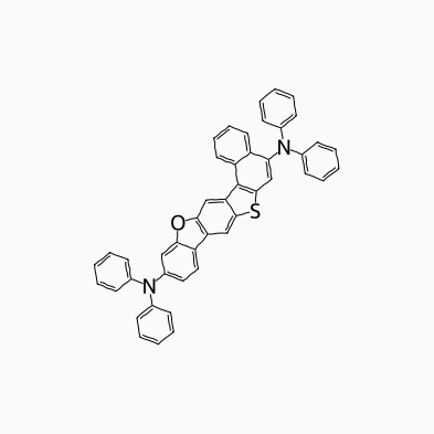 c1ccc(N(c2ccccc2)c2ccc3c(c2)oc2cc4c(cc23)sc2cc(N(c3ccccc3)c3ccccc3)c3ccccc3c24)cc1